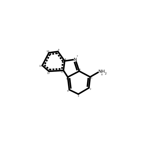 NC1=CCC=C2C1=Nc1ccccc12